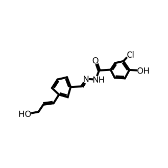 O=C(N/N=C/c1cccc(/C=C/CO)c1)c1ccc(O)c(Cl)c1